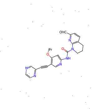 CC(C)Oc1cc(NC(=O)N2CCCc3ccc(C=O)nc32)ncc1C#Cc1cnccn1